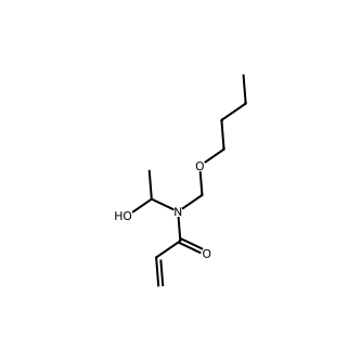 C=CC(=O)N(COCCCC)C(C)O